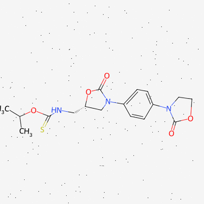 CC(C)OC(=S)NC[C@H]1CN(c2ccc(N3CCOC3=O)cc2)C(=O)O1